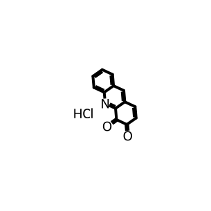 Cl.O=C1C=Cc2cc3ccccc3nc2C1=O